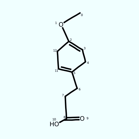 COC1=CCC(CCC(=O)O)=CC1